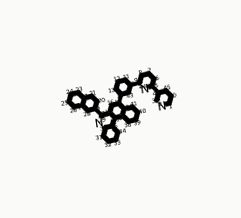 c1cncc(-c2cccc(-c3cccc(-c4cc5c(-c6ccc7ccccc7c6)nc6ccccc6c5c5ccccc45)c3)n2)c1